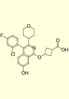 O=C(O)C1CC(Oc2nc(C3CCOCC3)c(-c3ccc(F)cc3Cl)c3ccc(O)cc23)C1